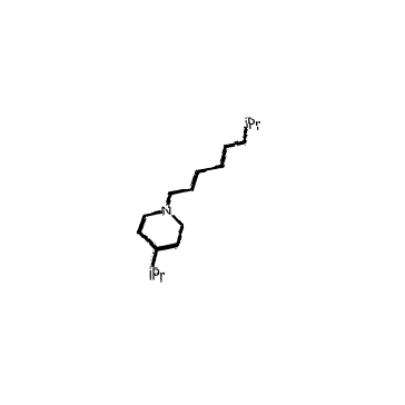 CC(C)CCCCCCN1CCC(C(C)C)CC1